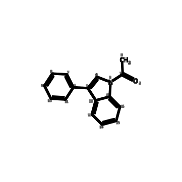 CC(=O)n1cc(-c2ccccc2)c2ccccc21